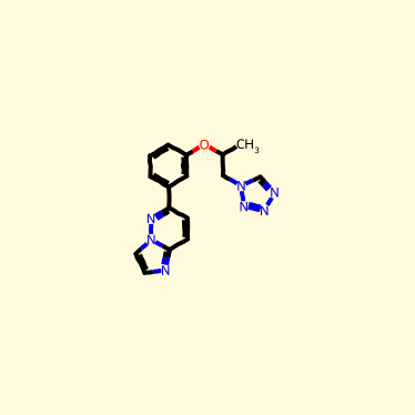 CC(Cn1cnnn1)Oc1cccc(-c2ccc3nccn3n2)c1